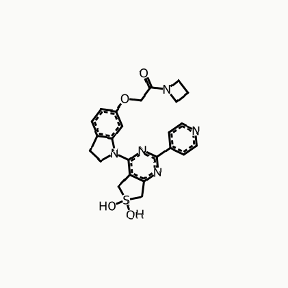 O=C(COc1ccc2c(c1)N(c1nc(-c3ccncc3)nc3c1CS(O)(O)C3)CC2)N1CCC1